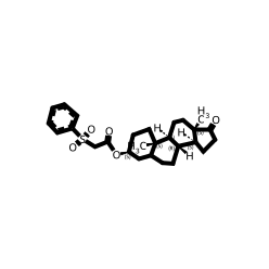 C[C@]12CC[C@H](OC(=O)CS(=O)(=O)c3ccccc3)CC1CC[C@@H]1[C@@H]2CC[C@]2(C)C(=O)CC[C@@H]12